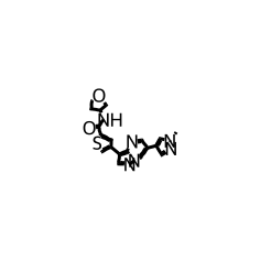 Cn1cc(-c2cnc3c(-c4csc(C(=O)NC5CCOC5)c4)cnn3c2)cn1